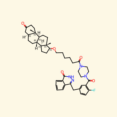 C[C@]12CCC(=O)C[C@@H]1CC[C@@H]1[C@@H]2CC[C@]2(C)[C@@H](OCCCCCC(=O)N3CCN(C(=O)c4cc(Cc5n[nH]c(=O)c6ccccc56)ccc4F)CC3)CC[C@@H]12